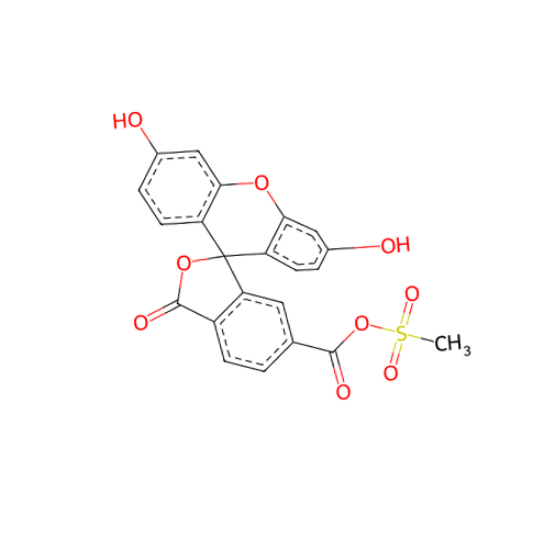 CS(=O)(=O)OC(=O)c1ccc2c(c1)C1(OC2=O)c2ccc(O)cc2Oc2cc(O)ccc21